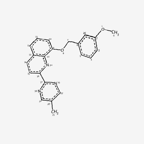 COc1cccc(COc2cccc3ccc(-c4ncc(C)cn4)nc23)c1